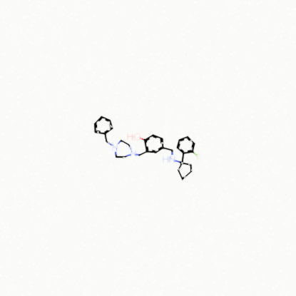 Oc1ccc(CNC2(c3ccccc3F)CCCC2)cc1CN1CCN(Cc2ccccc2)CC1